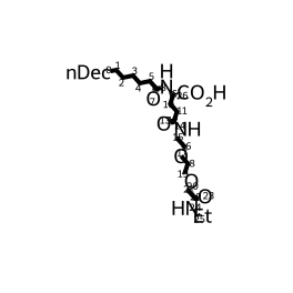 CCCCCCCCCCCCCCCC(=O)N[C@@H](CCC(=O)NCCOCCOCC(=O)NCC)C(=O)O